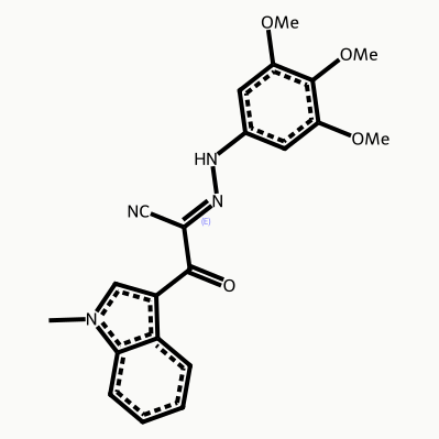 COc1cc(N/N=C(\C#N)C(=O)c2cn(C)c3ccccc23)cc(OC)c1OC